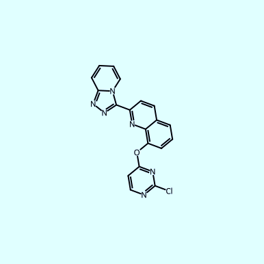 Clc1nccc(Oc2cccc3ccc(-c4nnc5ccccn45)nc23)n1